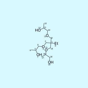 CCC(COCC(C)O)(COCC(C)O)COC(C)CO